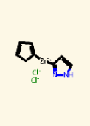 C1=CC[C]([Zr+2][c]2cc[nH]n2)=C1.[Cl-].[Cl-]